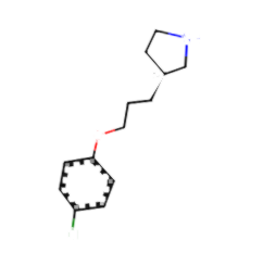 Clc1ccc(OCCC[C@H]2CCNC2)cc1